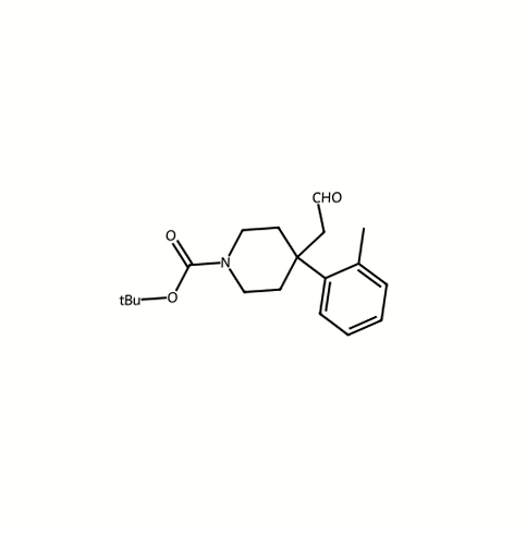 Cc1ccccc1C1(CC=O)CCN(C(=O)OC(C)(C)C)CC1